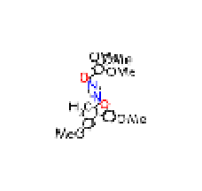 COc1ccc(C(=C(C)C(=O)N2CCN(C(=O)c3cc(OC)c(OC)c(OC)c3)CC2)c2ccc(OC)cc2)cc1